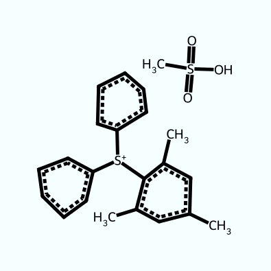 CS(=O)(=O)O.Cc1cc(C)c([S+](c2ccccc2)c2ccccc2)c(C)c1